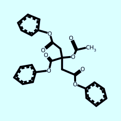 CC(=O)OC(CC(=O)Oc1ccccc1)(CC(=O)Oc1ccccc1)C(=O)Oc1ccccc1